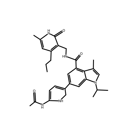 CCCc1cc(C)[nH]c(=O)c1CNC(=O)c1cc(C2=CC=C(NC(C)=O)NC2)cc2c1c(C)cn2C(C)C